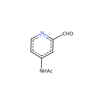 CC(=O)Nc1ccnc(C=O)c1